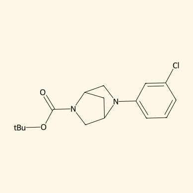 CC(C)(C)OC(=O)N1CC2CC1CN2c1cccc(Cl)c1